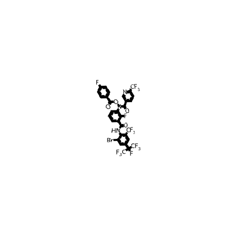 O=C(ON(C(=O)c1ccc(C(F)(F)F)nc1)c1cccc(C(=O)Nc2c(Br)cc(C(F)(C(F)(F)F)C(F)(F)F)cc2C(F)(F)F)c1F)c1ccc(F)cc1